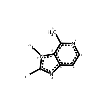 Cc1nccc2nc(I)n(I)c12